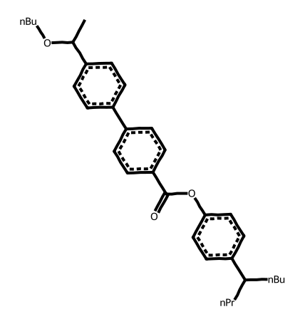 CCCCOC(C)c1ccc(-c2ccc(C(=O)Oc3ccc(C(CCC)CCCC)cc3)cc2)cc1